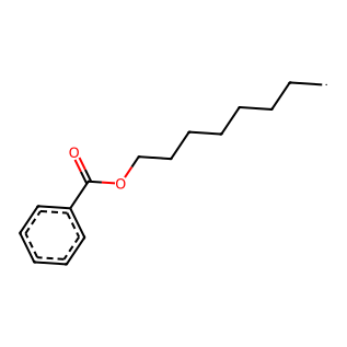 [CH2]CCCCCCCOC(=O)c1ccccc1